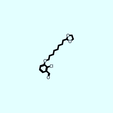 O=Cc1cccc(OCCCCCCCCC2OCCO2)c1Cl